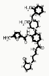 Cc1ccc(C(=O)Nc2cc(C(=O)NCCCN3CCCC3=O)ccc2N2CCN(Cc3ccccc3C)[C@@H](C)C2)o1